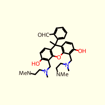 CNCCN(C)Cc1c(O)ccc2c1Oc1c(ccc(O)c1CN(C)CCNC)C2(C)c1ccccc1C=O